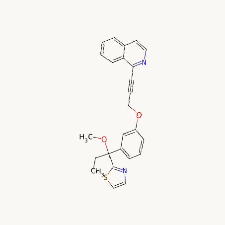 CCC(OC)(c1cccc(OCC#Cc2nccc3ccccc23)c1)c1nccs1